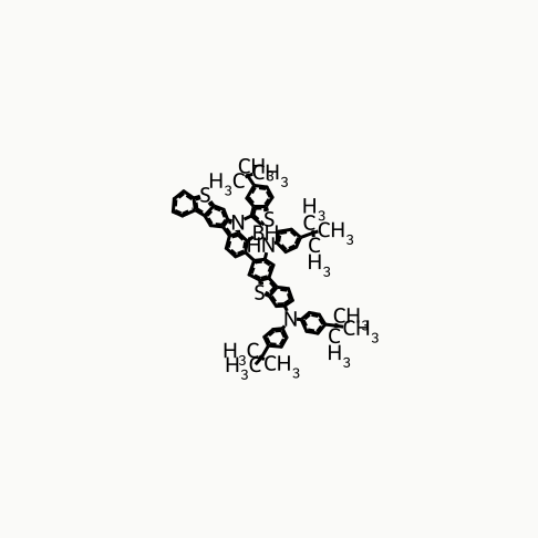 CC(C)(C)c1ccc(Nc2cc3c(cc2-c2ccc4c5cc6c(cc5n5c4c2Bc2sc4ccc(C(C)(C)C)cc4c2-5)sc2ccccc26)sc2cc(N(c4ccc(C(C)(C)C)cc4)c4ccc(C(C)(C)C)cc4)ccc23)cc1